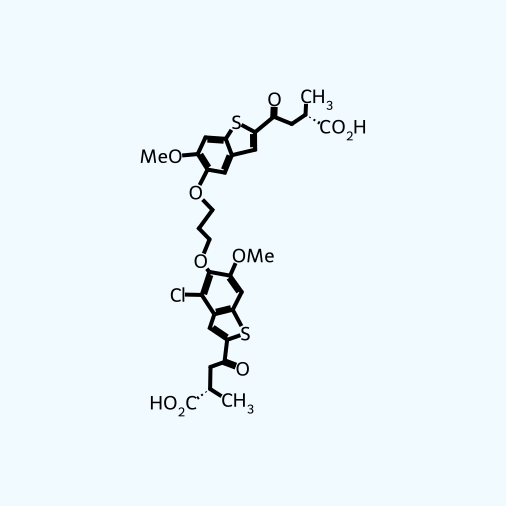 COc1cc2sc(C(=O)C[C@H](C)C(=O)O)cc2cc1OCCCOc1c(OC)cc2sc(C(=O)C[C@H](C)C(=O)O)cc2c1Cl